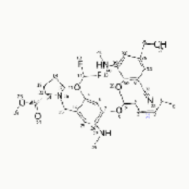 CC/C=C\CC(Oc1cc(OC(F)F)c(CN2CCC[C@H]2C(=O)OC)cc1NC)Oc1c(C#N)cc(CO)cc1NC